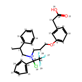 CC(CN(CCCOc1cccc(CC(=O)O)c1)C(Cl)(c1ccccc1)C(F)(F)F)c1ccccc1